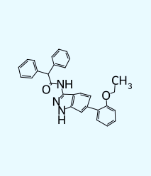 CCOc1ccccc1-c1ccc2c(NC(=O)C(c3ccccc3)c3ccccc3)n[nH]c2c1